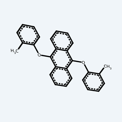 Cc1ccccc1Oc1c2ccccc2c(Oc2ccccc2C)c2ccccc12